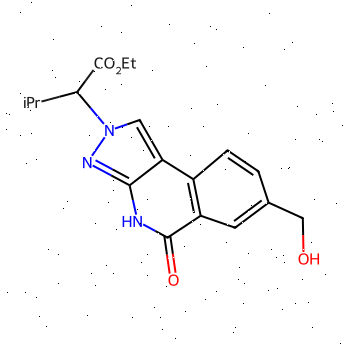 CCOC(=O)C(C(C)C)n1cc2c(n1)[nH]c(=O)c1cc(CO)ccc12